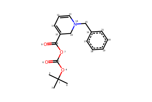 CC(C)(C)OC(=O)OC(=O)C1=CC=CN(Cc2ccccc2)C1